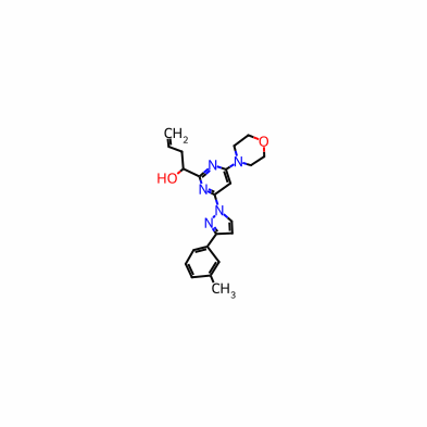 C=CCC(O)c1nc(N2CCOCC2)cc(-n2ccc(-c3cccc(C)c3)n2)n1